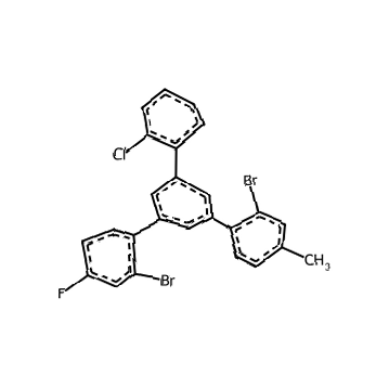 Cc1ccc(-c2cc(-c3ccccc3Cl)cc(-c3ccc(F)cc3Br)c2)c(Br)c1